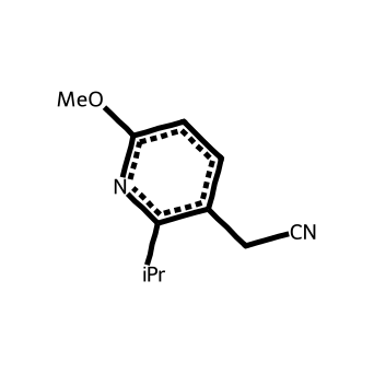 [CH2]C(C)c1nc(OC)ccc1CC#N